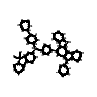 CC1(C)c2ccccc2-c2ccc(N(c3ccc(-c4ccccc4)cc3)c3ccc(-c4cc5c(c6ccccc6n5-c5ccccc5)c5oc6ccccc6c45)cc3)cc21